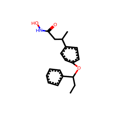 CCC(Oc1ccc(C(C)CC(=O)NO)cc1)c1ccccc1